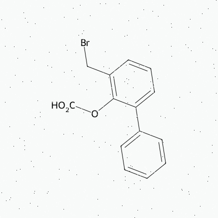 O=C(O)Oc1c(CBr)cccc1-c1ccccc1